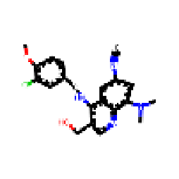 [C-]#[N+]c1cc(N(C)C)c2ncc(CO)c(NCc3ccc(OC)c(Cl)c3)c2c1